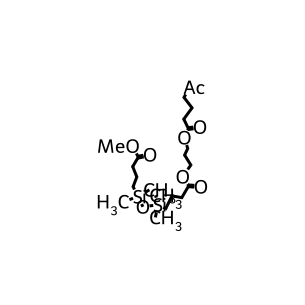 COC(=O)CCC[Si](C)(C)O[Si](C)(C)CCCC(=O)OCCCOC(=O)CCCC(C)=O